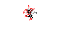 COc1cc(CO)cc(CO)c1OC1OC(CO)C(O)C(O)C1O